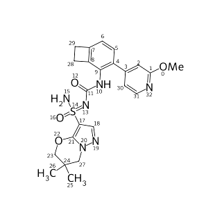 COc1cc(-c2ccc3c(c2NC(=O)N=S(N)(=O)c2cnn4c2OCC(C)(C)C4)CC3)ccn1